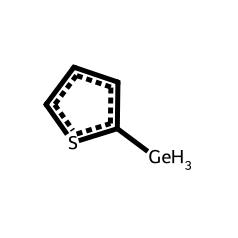 [GeH3][c]1cccs1